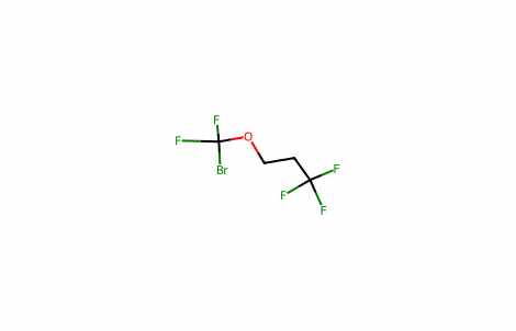 FC(F)(F)CCOC(F)(F)Br